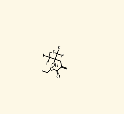 C=C(CC(O)(C(F)(F)F)C(F)(F)F)C(=O)OCC